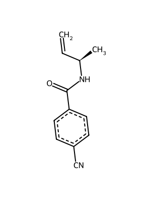 C=C[C@@H](C)NC(=O)c1ccc(C#N)cc1